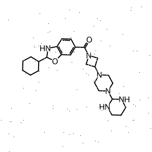 O=C(c1ccc2c(c1)OC(C1CCCCC1)N2)N1CC(N2CCN(C3NCCCN3)CC2)C1